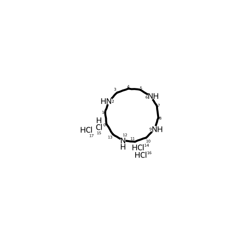 C1CNCCCNCCNCCNC1.Cl.Cl.Cl.Cl